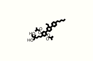 C=C(C)C(=O)Oc1cc(-c2ccc(-c3ccc(CCCCC)cc3)c(CC)c2)c(OC(=O)C(=C)C)cc1CCCC(CC)(CO)CO